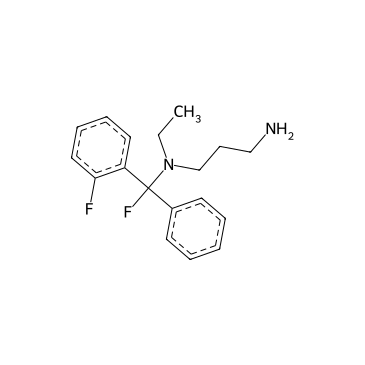 CCN(CCCN)C(F)(c1ccccc1)c1ccccc1F